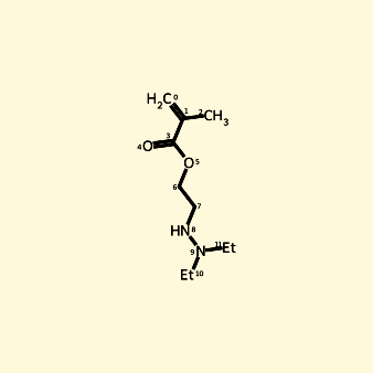 C=C(C)C(=O)OCCNN(CC)CC